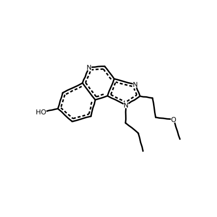 CCCn1c(CCOC)nc2cnc3cc(O)ccc3c21